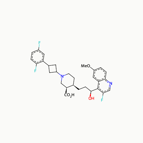 COc1ccc2ncc(F)c([C@@H](O)CC[C@@H]3CCN(C4CC(c5cc(F)ccc5F)C4)C[C@@H]3C(=O)O)c2c1